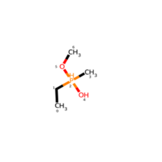 CC[PH](C)(O)OC